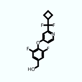 OCc1cc(F)c(Oc2ccnc(C(F)(F)C3CCC3)c2)c(F)c1